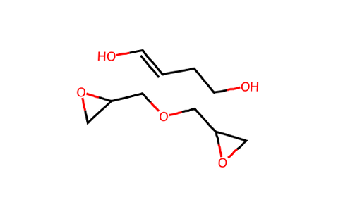 C(OCC1CO1)C1CO1.O/C=C/CCO